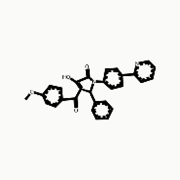 COc1ccc(C(=O)C2=C(O)C(=O)N(c3ccc(-c4ccccn4)cc3)C2c2ccccc2)cc1